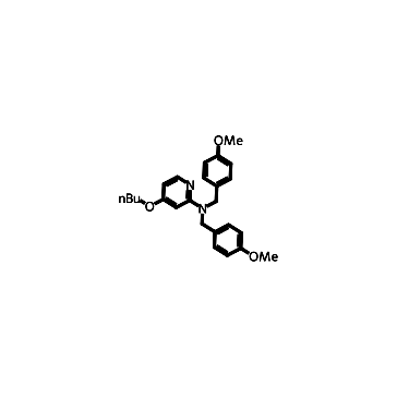 CCCCOc1ccnc(N(Cc2ccc(OC)cc2)Cc2ccc(OC)cc2)c1